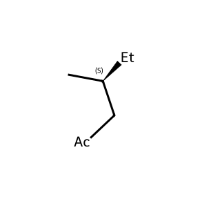 CC[C@H](C)CC(C)=O